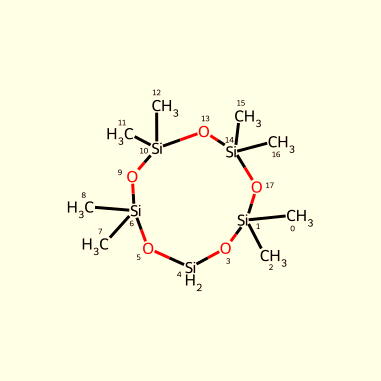 C[Si]1(C)O[SiH2]O[Si](C)(C)O[Si](C)(C)O[Si](C)(C)O1